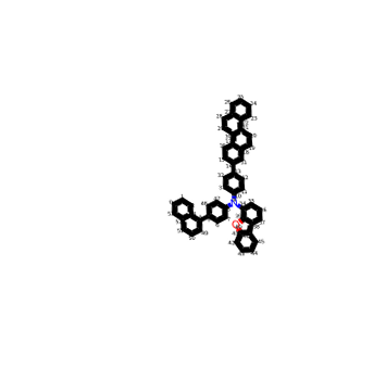 c1ccc2c(-c3ccc(N(c4ccc(-c5ccc6c(ccc7c8ccccc8ccc67)c5)cc4)c4cccc5c4oc4ccccc45)cc3)cccc2c1